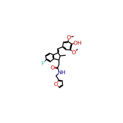 COc1cc(C=C2c3ccc(F)cc3C(CC(=O)NCc3ccco3)C2C)cc(OC)c1O